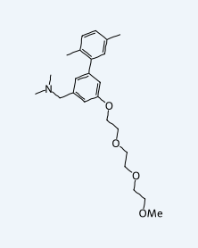 COCCOCCOCCOc1cc(CN(C)C)cc(-c2cc(C)ccc2C)c1